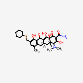 Cc1cc(CSC2CCCCC2)c(O)c2c1C[C@H]1C[C@H]3C(N(C)C)C(O)=C(C(N)=O)C(=O)[C@@]3(O)C(O)=C1C2=O